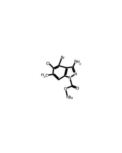 CCCCOC(=O)n1nc(N)c2c(Br)c(Cl)c(C)cc21